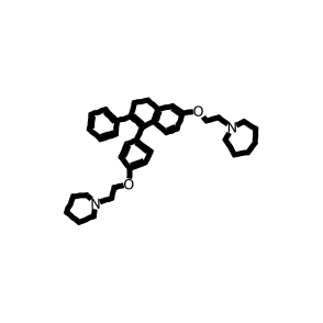 c1ccc(C2=C(c3ccc(OCCN4CCCCC4)cc3)c3ccc(OCCN4CCCCCC4)cc3CC2)cc1